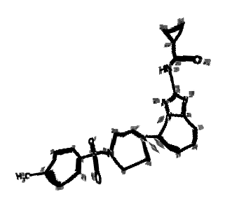 Cc1ccc(S(=O)(=O)N2CCN(c3cccc4nc(NC(=O)C5CC5)nn34)CC2)cc1